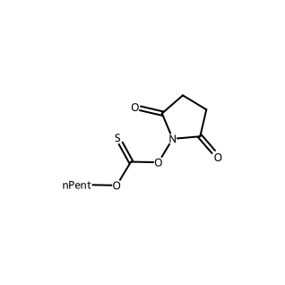 CCCCCOC(=S)ON1C(=O)CCC1=O